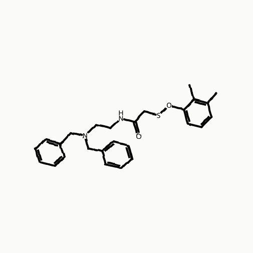 Cc1cccc(OSCC(=O)NCCN(Cc2ccccc2)Cc2ccccc2)c1C